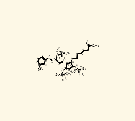 COC(=O)CCCC=CC[C@@H]1[C@@H](C=C[C@H](COc2cccc(C(F)(F)F)c2)O[Si](C)(C)C(C)(C)C)[C@H](O[Si](C)(C)C(C)(C)C)C[C@@H]1O[Si](C)(C)C(C)(C)C